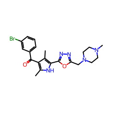 Cc1[nH]c(-c2nnc(CN3CCN(C)CC3)o2)c(C)c1C(=O)c1cccc(Br)c1